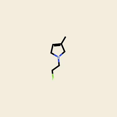 CC1=CCN(CCF)C1